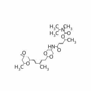 CC(C=C[C@@H]1C[C@@]2(CO2)CC(C)O1)=CCC1OCC(NC(=O)C=CC(C)OC(=O)N(C)C(C)C)CO1